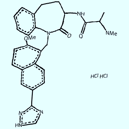 CNC(C)C(=O)NC1CCc2ccccc2N(Cc2c(OC)ccc3cc(-c4nc[nH]n4)ccc23)C1=O.Cl.Cl